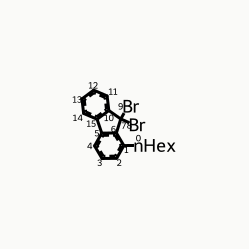 CCCCCCc1cccc2c1C(Br)(Br)c1ccccc1-2